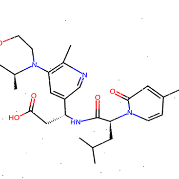 Cc1ccn([C@@H](CC(C)C)C(=O)N[C@H](CC(=O)O)c2cnc(C)c(N3CCOC[C@@H]3C)c2)c(=O)c1